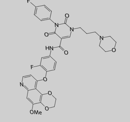 COc1cc2nccc(Oc3ccc(NC(=O)c4cn(CCCN5CCOCC5)c(=O)n(-c5ccc(F)cc5)c4=O)cc3F)c2c2c1OCCO2